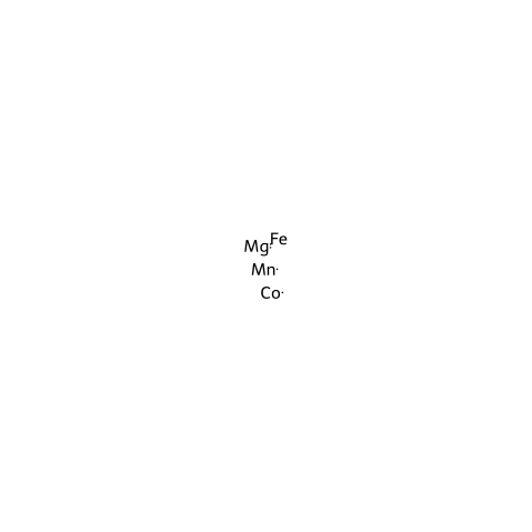 [Co].[Fe].[Mg].[Mn]